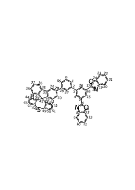 c1cc(-c2cc(-c3nc4ccccc4o3)cc(-c3nc4ccccc4o3)c2)cc(-c2ccc3c(c2)-c2ccccc2C32c3ccccc3Sc3ccccc32)c1